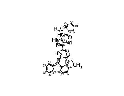 CCN1C(=O)C(NC(=O)c2n[nH]c(NC(=O)c3ccccc3C)c2Cl)N=C(c2ccccc2)c2ccccc21